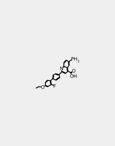 CCOc1ccc(-c2ccc(-c3cc(C(=O)O)c4cc(P)ccc4n3)cc2)c(F)c1